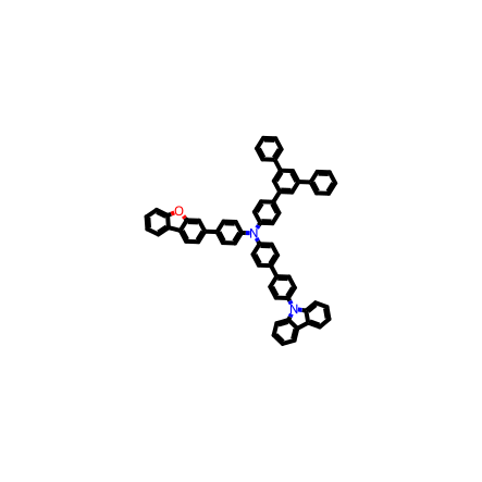 c1ccc(-c2cc(-c3ccccc3)cc(-c3ccc(N(c4ccc(-c5ccc(-n6c7ccccc7c7ccccc76)cc5)cc4)c4ccc(-c5ccc6c(c5)oc5ccccc56)cc4)cc3)c2)cc1